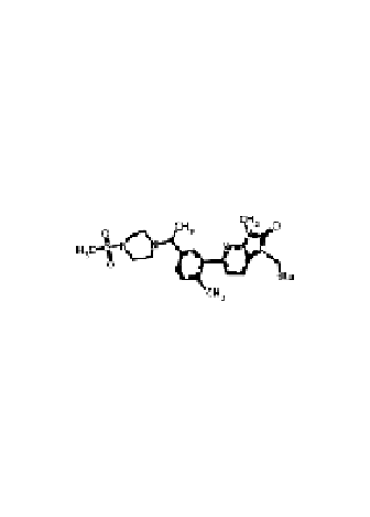 Cc1ccc(C(C)N2CCN(S(C)(=O)=O)CC2)cc1-c1ccc2c(n1)n(C)c(=O)n2CC(C)(C)C